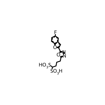 O=S(=O)(O)C(CCCc1nnc(-c2cc3cc(F)ccc3o2)o1)S(=O)(=O)O